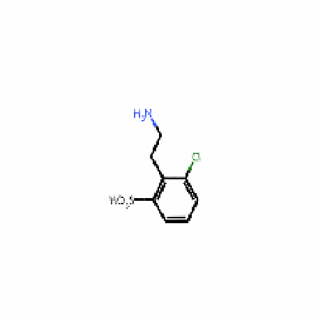 NCCc1c(Cl)cccc1S(=O)(=O)O